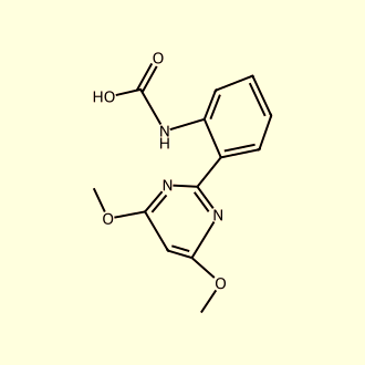 COc1cc(OC)nc(-c2ccccc2NC(=O)O)n1